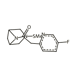 CSN1CC2CC(C1)N2C(=O)Cc1ccc(F)cn1